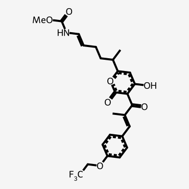 COC(=O)N/C=C/CCC(C)c1cc(O)c(C(=O)/C(C)=C/c2ccc(OCC(F)(F)F)cc2)c(=O)o1